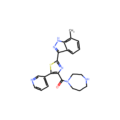 Cc1cccc2c(-c3nc(C(=O)N4CCCNCC4)c(-c4cccnc4)s3)n[nH]c12